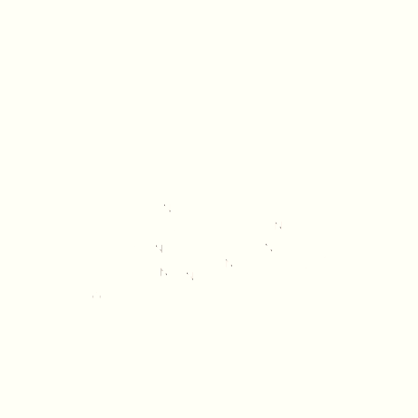 C=N/C(=C\C(=N/C)n1nc(C)c(C=O)c1C)Nc1c(C)c(-c2ccc(F)cc2)nn1CC1CC1